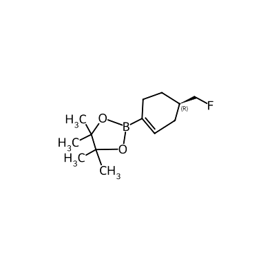 CC1(C)OB(C2=CC[C@H](CF)CC2)OC1(C)C